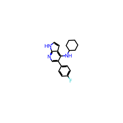 Fc1ccc(-c2cnc3[nH]ccc3c2NC2CCCCC2)cc1